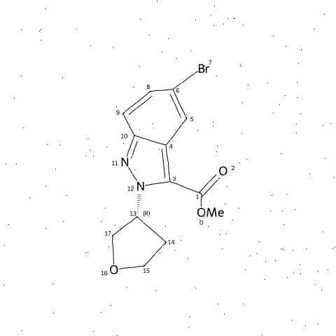 COC(=O)c1c2cc(Br)ccc2nn1[C@@H]1CCOC1